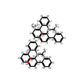 S=C([S-])N(c1ccccc1-c1ccccc1)c1ccccc1-c1ccccc1.S=C([S-])N(c1ccccc1-c1ccccc1)c1ccccc1-c1ccccc1.[Ca+2]